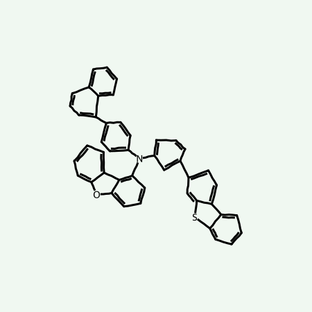 c1cc(-c2ccc3c(c2)sc2ccccc23)cc(N(c2ccc(-c3cccc4ccccc34)cc2)c2cccc3oc4ccccc4c23)c1